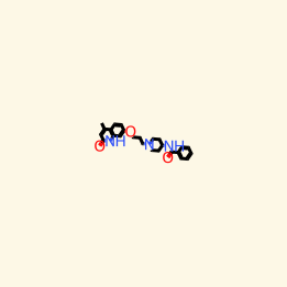 Cc1cc(=O)[nH]c2cc(OCCCN3CCC(NC(=O)c4ccccc4)CC3)ccc12